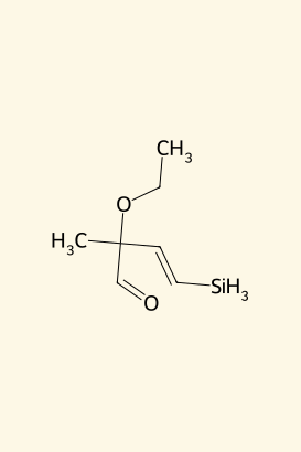 CCOC(C)(C=O)C=C[SiH3]